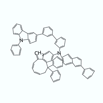 C=C1/C=C\C=C/CC(c2ccccc2)(c2ccccc2)c2cc(N(c3cccc(-c4cccc(-c5ccc6c(c5)c5ccccc5n6-c5ccccc5)c4)c3)c3ccc4cc(-c5ccccc5)ccc4c3)ccc21